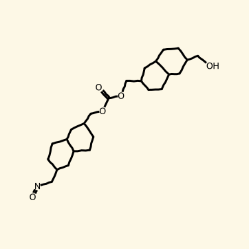 O=NCC1CCC2CC(COC(=O)OCC3CCC4CC(CO)CCC4C3)CCC2C1